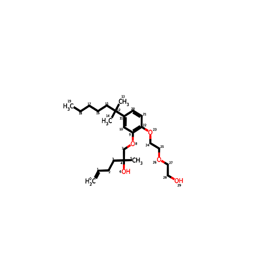 C=CCCC(C)(O)COc1cc(C(C)(C)CCCCC)ccc1OCCOCCO